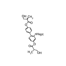 C=C(CO)C(=O)Oc1ccc(-c2ccc(OC(=O)C(C)CO)cc2CCCCCCC)cc1